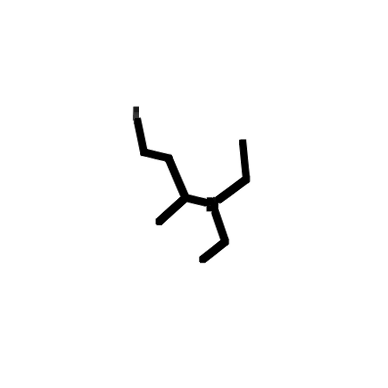 CCN(CC)C(C)CCI